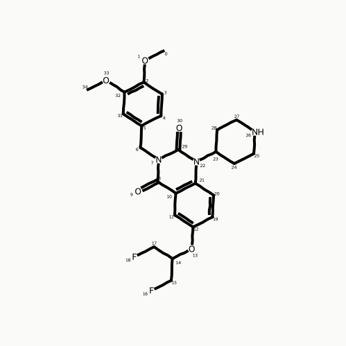 COc1ccc(Cn2c(=O)c3cc(OC(CF)CF)ccc3n(C3CCNCC3)c2=O)cc1OC